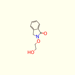 O=C1c2ccccc2CN1OCCO